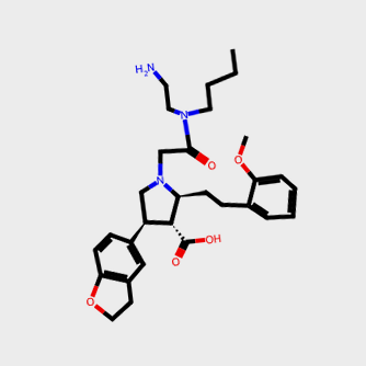 CCCCN(CCN)C(=O)CN1C[C@H](c2ccc3c(c2)CCO3)[C@@H](C(=O)O)[C@@H]1CCc1ccccc1OC